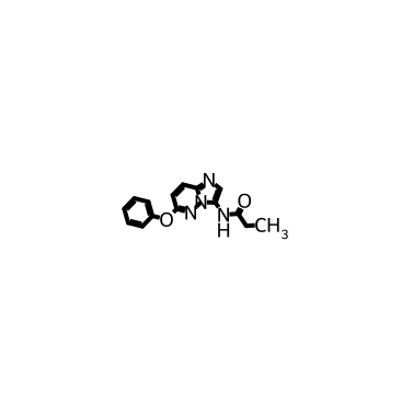 CCC(=O)Nc1cnc2ccc(Oc3ccccc3)nn12